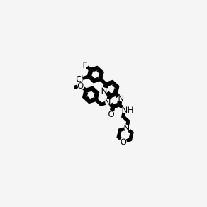 COc1ccc(Cn2c(=O)c(NCCN3CCOCC3)nc3ccc(-c4ccc(F)c(Cl)c4)nc32)cc1